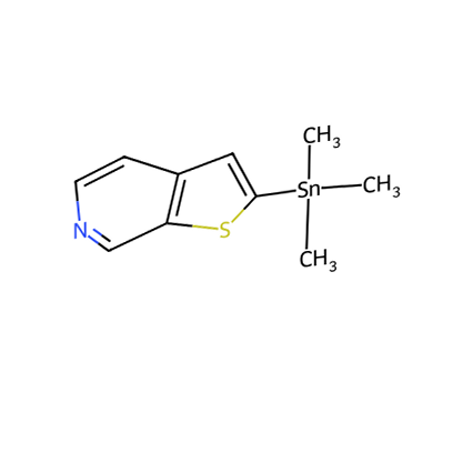 [CH3][Sn]([CH3])([CH3])[c]1cc2ccncc2s1